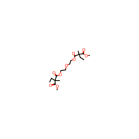 CCC(C)(C(=O)OC)C(=O)OCCOCCOC(=O)C(C)(CC)C(=O)OC